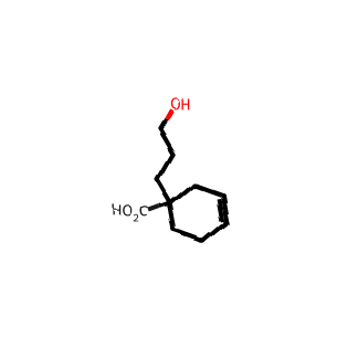 O=C(O)C1(CCCO)CC=CCC1